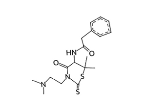 CN(C)CCN1C(=O)C(NC(=O)Cc2ccccc2)C(C)(C)SC1=S